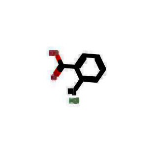 Cl.O=C(O)c1cccc[c]1[Hg]